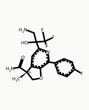 C[C@]1(C(N)=O)COc2c1cc(C(O)(CN)C(F)(F)F)nc2-c1ccc(F)cc1